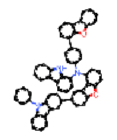 c1ccc(-n2c3ccccc3c3cc(-c4ccc5oc6cccc(N(c7ccc(-c8cccc9c8oc8ccccc89)cc7)c7cccc8c7[nH]c7ccccc78)c6c5c4)ccc32)cc1